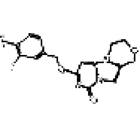 O=c1nc(OCc2ccc(F)c(F)c2)cc2n1CC1COCCN21